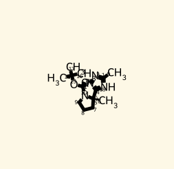 Cc1nnc([C@]2(C)CCCN2C(=O)OC(C)(C)C)[nH]1